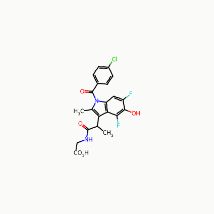 Cc1c(C(C)C(=O)NCC(=O)O)c2c(F)c(O)c(F)cc2n1C(=O)c1ccc(Cl)cc1